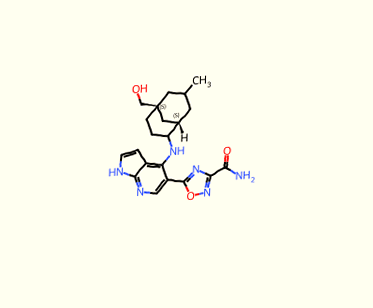 CC1C[C@H]2C[C@](CO)(CCC2Nc2c(-c3nc(C(N)=O)no3)cnc3[nH]ccc23)C1